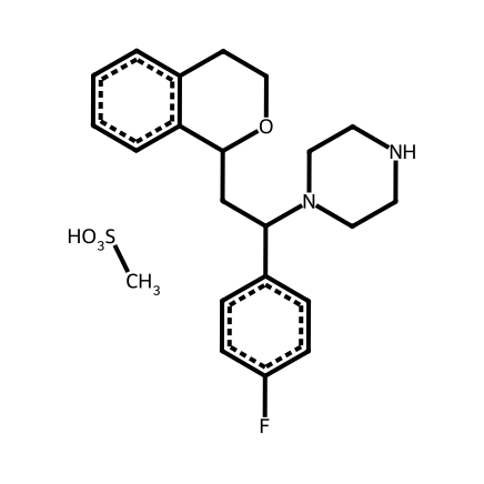 CS(=O)(=O)O.Fc1ccc(C(CC2OCCc3ccccc32)N2CCNCC2)cc1